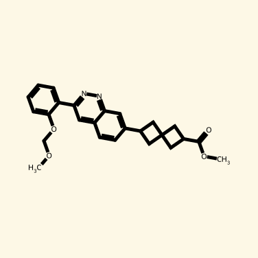 COCOc1ccccc1-c1cc2ccc(C3CC4(CC(C(=O)OC)C4)C3)cc2nn1